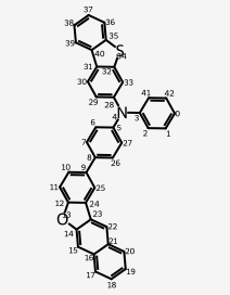 c1ccc(N(c2ccc(-c3ccc4oc5cc6ccccc6cc5c4c3)cc2)c2ccc3c(c2)sc2ccccc23)cc1